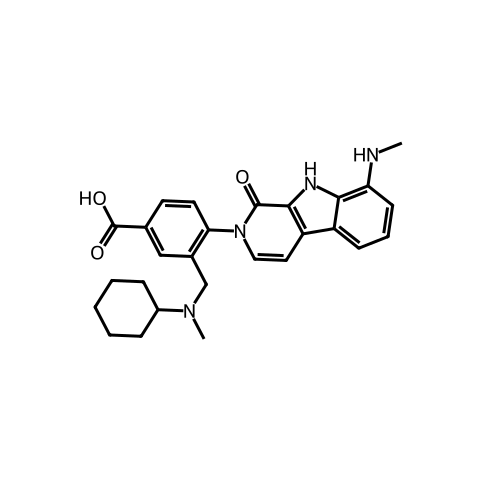 CNc1cccc2c1[nH]c1c(=O)n(-c3ccc(C(=O)O)cc3CN(C)C3CCCCC3)ccc12